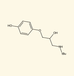 CC(C)(C)NCC(O)COc1ccc(O)cc1